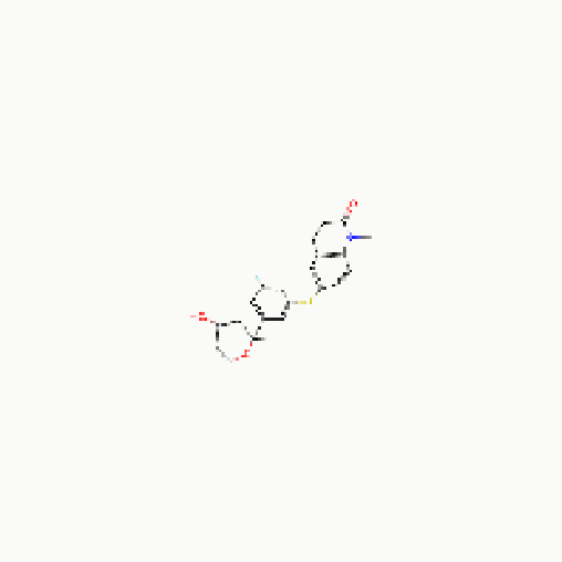 CN1C(=O)CCc2cc(Sc3cc(F)cc(C4(C)CC(O)CCO4)c3)ccc21